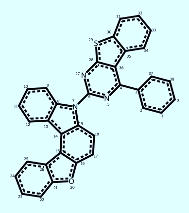 c1ccc(-c2nc(-n3c4ccccc4c4c5c(ccc43)oc3ccccc35)nc3sc4ccccc4c23)cc1